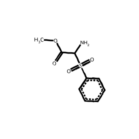 COC(=O)C(N)S(=O)(=O)c1ccccc1